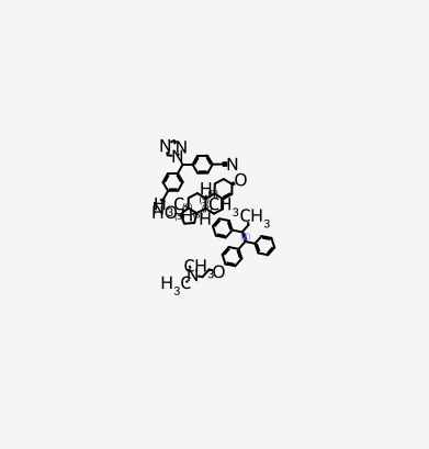 CC/C(=C(\c1ccccc1)c1ccc(OCCN(C)C)cc1)c1ccccc1.C[C@]12CC[C@H]3[C@@H](CCC4=CC(=O)CC[C@@]43C)[C@@H]1CC[C@@H]2O.N#Cc1ccc(C(c2ccc(C#N)cc2)n2cncn2)cc1